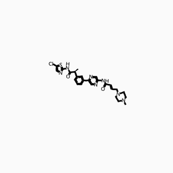 C[C@H](C(=O)Nc1ncc(Cl)s1)c1cccc(-c2cnc(NC(=O)/C=C/CN3CCN(C)CC3)cn2)c1